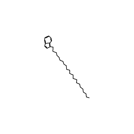 CCCCCCCCCCCCCCCCCCCCCCCc1ccc2cccccc1-2